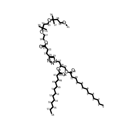 CCCCCCCCCCCCC(=O)OCC(Cn1cc(CCC(=O)OCCOC(C)(C)CCOC(C)(C)CCOC)nn1)OC(=O)CCCCCCCCCCCC